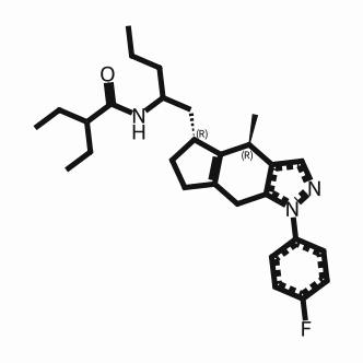 CCCC(C[C@H]1CCC2=C1[C@@H](C)c1cnn(-c3ccc(F)cc3)c1C2)NC(=O)C(CC)CC